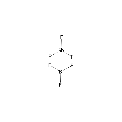 FB(F)F.[F][Sb]([F])[F]